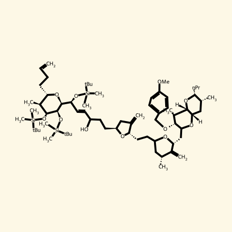 C=CCC[C@@H]1O[C@@H]([C@H](/C=C/C(O)CC[C@H]2CC(=C)[C@H](CCC3C[C@@H](C)C(=C)[C@@H](CC4O[C@H]5C[C@@H](C)[C@@H](CCC)O[C@H]5[C@H](C)[C@H]4OCc4ccc(OC)cc4)O3)O2)O[Si](C)(C)C(C)(C)C)[C@@H](O[Si](C)(C)C(C)(C)C)[C@@H](O[Si](C)(C)C(C)(C)C)[C@H]1C